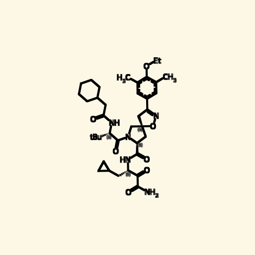 CCOc1c(C)cc(C2=NO[C@]3(C2)C[C@@H](C(=O)N[C@@H](CC2CC2)C(=O)C(N)=O)N(C(=O)[C@@H](NC(=O)CC2CCCCC2)C(C)(C)C)C3)cc1C